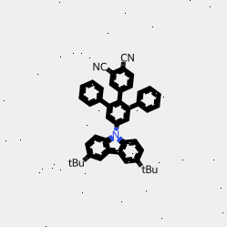 CC(C)(C)c1ccc2c(c1)c1cc(C(C)(C)C)ccc1n2-c1cc(-c2ccccc2)c(-c2ccc(C#N)c(C#N)c2)c(-c2ccccc2)c1